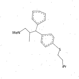 CNCC(C)C(c1ccccc1)c1ccc(SCCC(C)C)cc1